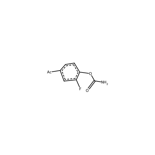 CC(=O)c1ccc(OC(N)=O)c(F)c1